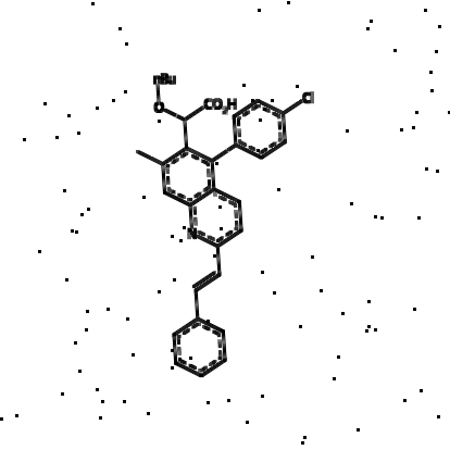 CCCCOC(C(=O)O)c1c(C)cc2nc(C=Cc3ccccc3)ccc2c1-c1ccc(Cl)cc1